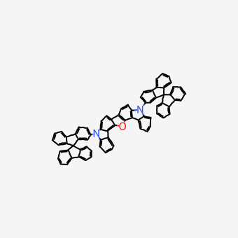 c1ccc2c(c1)-c1ccccc1C21c2ccccc2-c2ccc(-n3c4ccccc4c4c5oc6c(ccc7c6c6ccccc6n7-c6ccc7c(c6)C6(c8ccccc8-c8ccccc86)c6ccccc6-7)c5ccc43)cc21